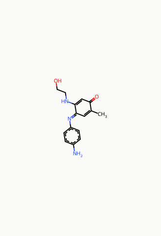 CC1=C/C(=N\c2ccc(N)cc2)C(NCCO)=CC1=O